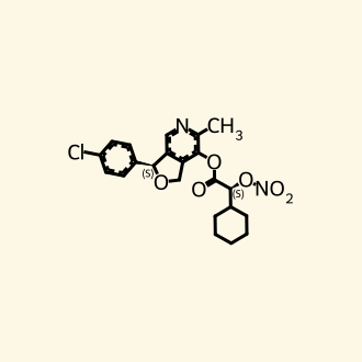 Cc1ncc2c(c1OC(=O)[C@@H](O[N+](=O)[O-])C1CCCCC1)CO[C@H]2c1ccc(Cl)cc1